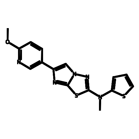 COc1ccc(-c2cn3nc(N(C)c4cccs4)sc3n2)cn1